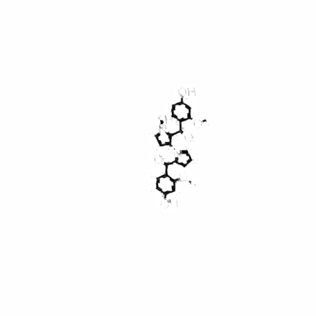 COc1cc(O)ccc1C(=O)c1c(-n2cccc2C(=O)c2ccc(O)cc2OC)ccn1S